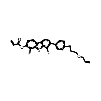 C=CCOCCCc1ccc(-c2ccc3c(sc4c(F)c(OC(=O)C=C)ccc43)c2F)cc1